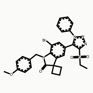 CCS(=O)(=O)c1nnn(-c2ccccc2)c1-c1cc(Br)c2c(c1)C1(CCC1)C(=O)N2Cc1ccc(OC)cc1